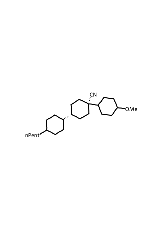 CCCCCC1CCC([C@H]2CC[C@](C#N)(C3CCC(OC)CC3)CC2)CC1